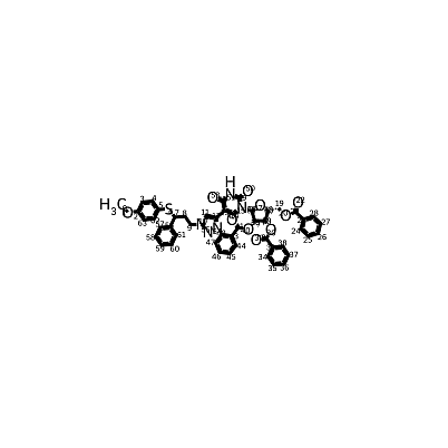 COc1ccc(SC(CCn2cc(-c3cn([C@@H]4O[C@H](COC(=O)c5ccccc5)[C@@H](OC(=O)c5ccccc5)[C@H]4OC(=O)c4ccccc4)c(=O)[nH]c3=O)nn2)c2ccccc2)cc1